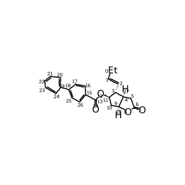 CC/C=C/[C@@H]1[C@H]2CC(=O)O[C@H]2C[C@H]1OC(=O)c1ccc(-c2ccccc2)cc1